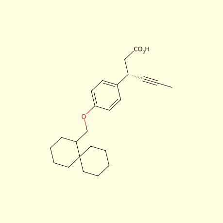 CC#C[C@@H](CC(=O)O)c1ccc(OCC2CCCCC23CCCCC3)cc1